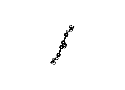 C=CC(=O)OCCSc1ccc(C#Cc2ccc(-c3ccc(C#Cc4ccc(SCCOC(=O)C=C)cc4)cc3OC)c(OC)c2)cc1